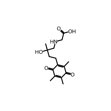 CC1=C(C)C(=O)C(CCC(C)(O)CNCC(=O)O)=C(C)C1=O